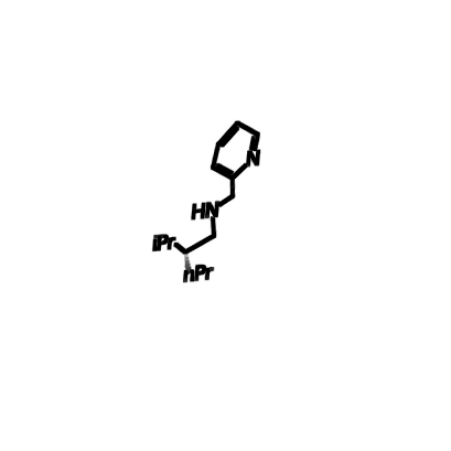 CCC[C@@H](CNCc1ccccn1)C(C)C